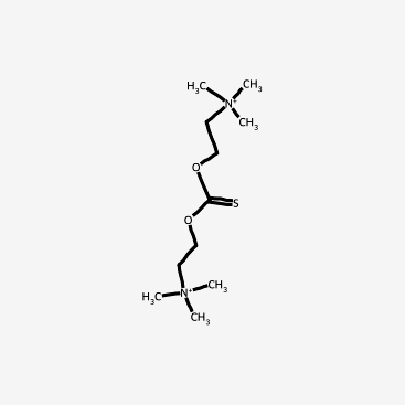 C[N+](C)(C)CCOC(=S)OCC[N+](C)(C)C